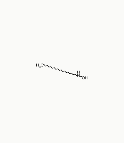 CCCCCCCCCCCCCCCCCCCCCNCCO